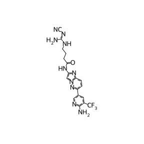 N#C/N=C(\N)NCCCC(=O)Nc1cn2nc(-c3cnc(N)c(C(F)(F)F)c3)ccc2n1